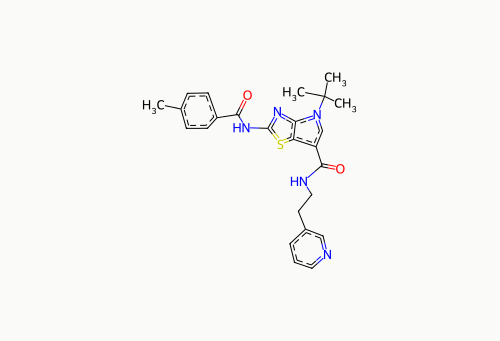 Cc1ccc(C(=O)Nc2nc3c(s2)c(C(=O)NCCc2cccnc2)cn3C(C)(C)C)cc1